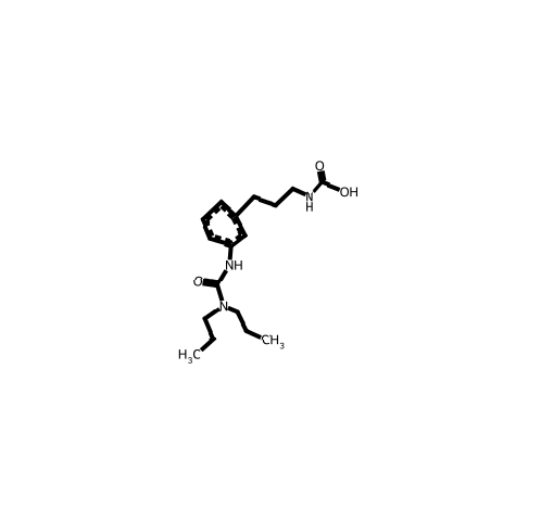 CCCN(CCC)C(=O)Nc1cccc(CCCNC(=O)O)c1